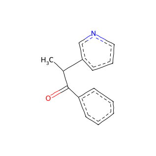 CC(C(=O)c1ccccc1)c1cccnc1